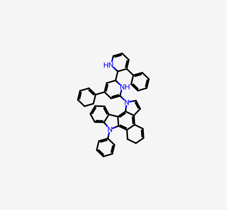 C1=CCCC(C2=CC(C3NC=CC=C3c3ccccc3)NC(n3ccc4c5c(c6c(c7ccccc7n6-c6ccccc6)c43)CCC=C5)=C2)=C1